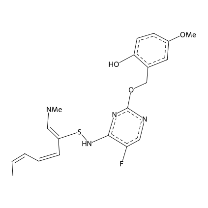 C\C=C/C=C\C(=C\NC)SNc1nc(OCc2cc(OC)ccc2O)ncc1F